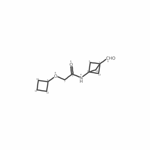 O=CC12CC(NC(=O)COC3CCC3)(C1)C2